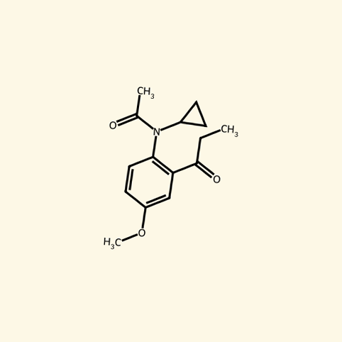 CCC(=O)c1cc(OC)ccc1N(C(C)=O)C1CC1